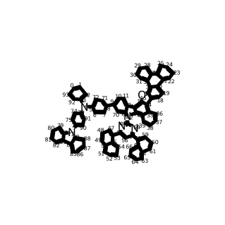 c1ccc(N(c2ccc(-c3ccc4c5c6oc7c(ccc8c9ccccc9c9ccccc9c87)c6c6ccccc6c5n(-c5nc(-c6cccc7ccccc67)cc(-c6cccc7ccccc67)n5)c4c3)cc2)c2ccc(-n3c4ccccc4c4ccccc43)cc2)cc1